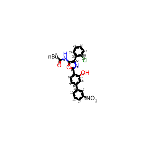 CCCCC(=O)Nc1oc(-c2ccc(-c3cccc([N+](=O)[O-])c3)cc2O)nc1-c1ccccc1Cl